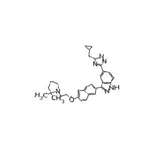 CC1(C)CCCCN1CCOc1ccc2cc(-c3n[nH]c4ccc(C5=NC(CC6CC6)N=N5)cc34)ccc2c1